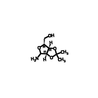 CC1(C)O[C@@H]2[C@@H](CO)OC(N)[C@@H]2O1